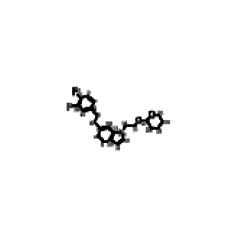 Fc1ccc(CCc2ccc3ccn(CCOC4CCCCO4)c3c2)cc1F